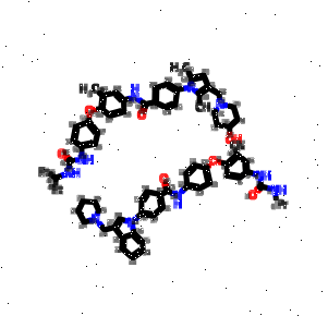 CC(C)NC(=O)Nc1ccc(Oc2ccc(NC(=O)c3ccc(-n4cc(CN5CCCCC5)c5ccccc54)cc3)cc2)c(C#N)c1.CCC(CC)NC(=O)Nc1ccc(Oc2ccc(NC(=O)c3ccc(-n4c(C)cc(CN5CCC(O)CC5)c4C)cc3)cc2C)cc1